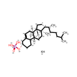 CC(C)CCC[C@@H](C)[C@H]1CC[C@H]2[C@@H]3CC=C4C[C@@H](OP(=O)(O)O)CC[C@]4(C)[C@H]3CC[C@]12C.[KH]